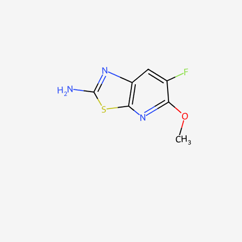 COc1nc2sc(N)nc2cc1F